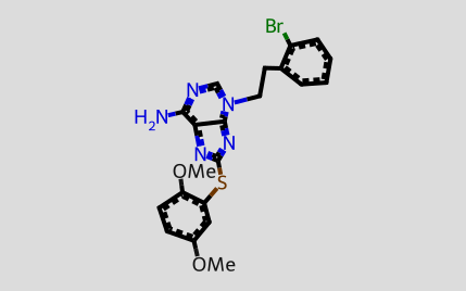 COc1ccc(OC)c(Sc2nc3c(N)ncn(CCc4ccccc4Br)c-3n2)c1